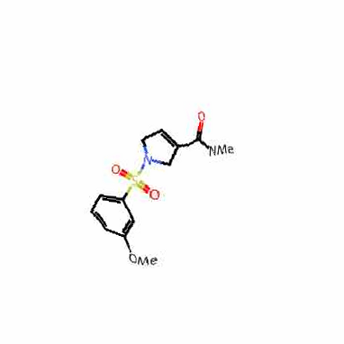 CNC(=O)C1=CCN(S(=O)(=O)c2cccc(OC)c2)C1